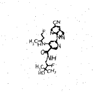 CC(CCF)Nc1cc(-n2ncc3cc(C#N)cnc32)ncc1C(=O)NCC(F)C(C)(C)O